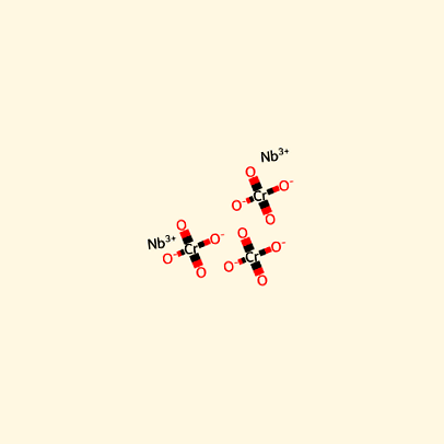 [Nb+3].[Nb+3].[O]=[Cr](=[O])([O-])[O-].[O]=[Cr](=[O])([O-])[O-].[O]=[Cr](=[O])([O-])[O-]